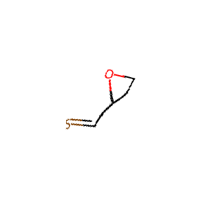 S=CC1CO1